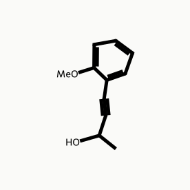 COc1ccccc1C#CC(C)O